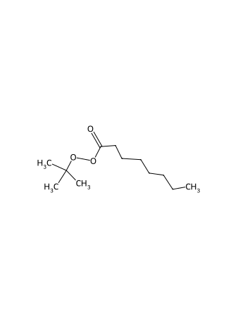 CCCCCCCC(=O)OOC(C)(C)C